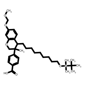 COCOc1ccc2c(c1)OCC(C)(c1ccc(C(=O)O)cc1)C2CCCCCCCCCO[Si](C)(C)C(C)(C)C